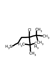 CC(C)(C)C(Cl)(CC[SiH3])C(C)(C)C